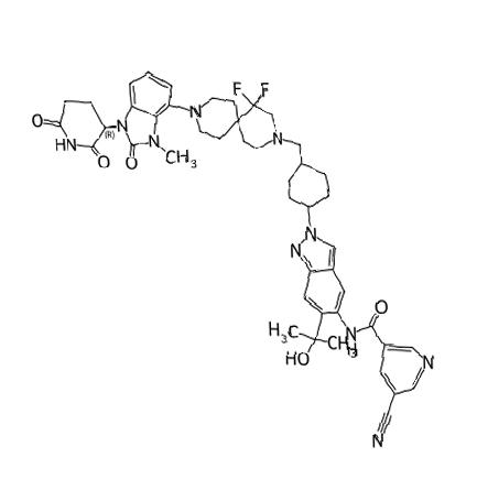 Cn1c(=O)n([C@@H]2CCC(=O)NC2=O)c2cccc(N3CCC4(CCN(CC5CCC(n6cc7cc(NC(=O)c8cncc(C#N)c8)c(C(C)(C)O)cc7n6)CC5)CC4(F)F)CC3)c21